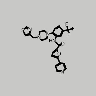 O=C(Nc1cc(C(F)(F)F)ccc1N1CCN(Cc2cscn2)CC1)c1ccc(-c2ccncc2)o1